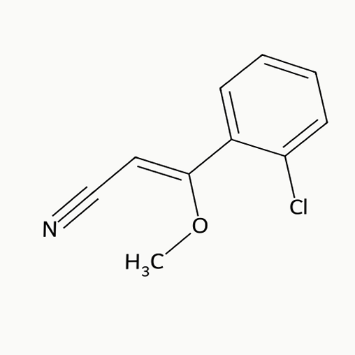 COC(=CC#N)c1ccccc1Cl